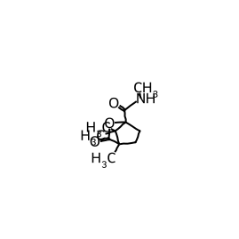 CNC(=O)C12CCC(C)(C(=O)O1)C2(C)C